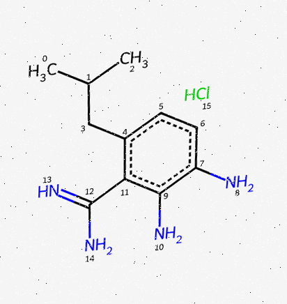 CC(C)Cc1ccc(N)c(N)c1C(=N)N.Cl